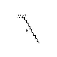 CCCCCCCCCCCCCCCC[CH2][Mg+].[Br-]